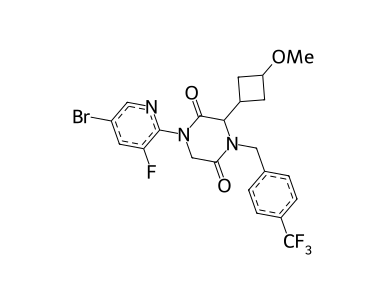 COC1CC(C2C(=O)N(c3ncc(Br)cc3F)CC(=O)N2Cc2ccc(C(F)(F)F)cc2)C1